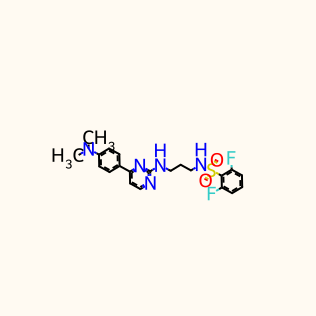 CN(C)c1ccc(-c2ccnc(NCCCNS(=O)(=O)c3c(F)cccc3F)n2)cc1